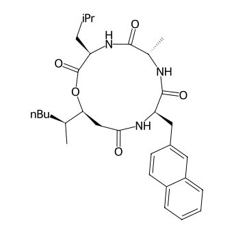 CCCC[C@H](C)[C@@H]1CC(=O)N[C@H](Cc2ccc3ccccc3c2)C(=O)N[C@@H](C)C(=O)N[C@H](CC(C)C)C(=O)O1